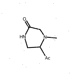 CC(=O)C1CNC(=O)CN1C